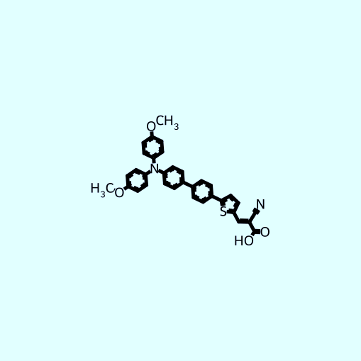 COc1ccc(N(c2ccc(OC)cc2)c2ccc(-c3ccc(-c4ccc(/C=C(\C#N)C(=O)O)s4)cc3)cc2)cc1